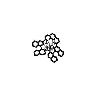 Oc1ccc2ccccc2c1-c1c(O)c(-c2ccc3ccc4ccc(-c5cc6ccccc6c(-c6c(O)ccc7ccccc67)c5O)nc4c3n2)cc2ccccc12